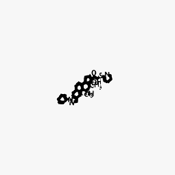 CC12Cc3cnn(-c4ccccc4)c3C=C1CCC1C2[C@@H](O)CC2(C)C1CC[C@]2(O)C(=O)CSc1ccccn1